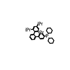 CC(C)c1cc(C(C)C)c(-c2ccccc2-c2ccc(P(C3CCCCC3)C3CCCCC3)cc2)c(C(C)C)c1